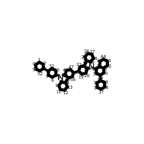 c1ccc(-c2ccc(-n3c4ccccc4c4cc(-c5ccc6c(c5)c5ccccc5n6-c5cc(-c6ccccc6)cc6ccccc56)ccc43)cc2)cc1